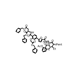 CCCCCC(C(=O)NCNC(=O)c1ccc(-c2ccc(C(=O)NC(CC(=O)OCc3ccccc3)C(=O)OCc3ccccc3)c(OCC(=O)OCc3ccccc3)c2)o1)C(CC)N(C=O)OC(=O)c1ccccc1OC(C)=O